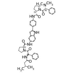 CC(C)CC(=O)N[C@@H](C(=O)N1CCC[C@H]1C(=O)Nc1ccc2[nH]c(-c3ccc(NC(=O)[C@@H]4CCCN4C(=O)[C@@H](c4ccccc4)N(C)C)cc3)cc2c1)c1ccccc1